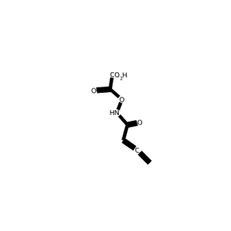 C=C=CC(=O)NOC(=O)C(=O)O